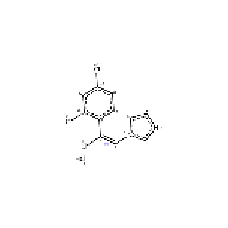 Cl.Cl/C(=C/n1ccnc1)c1ccc(Cl)cc1Cl